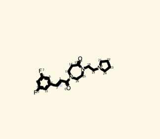 O=C(/C=C/c1cc(F)cc(F)c1)N1CCC(=O)N(CCN2CCCC2)CC1